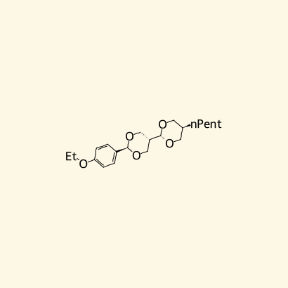 CCCCC[C@H]1CO[C@H]([C@H]2CO[C@H](c3ccc(OCC)cc3)OC2)OC1